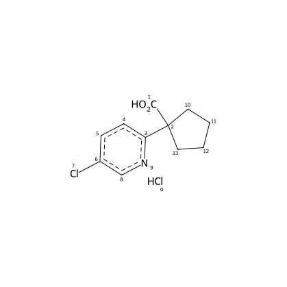 Cl.O=C(O)C1(c2ccc(Cl)cn2)CCCC1